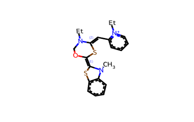 CCN1CO/C(=C2\Sc3ccccc3N2C)S/C1=C\c1cccc[n+]1CC